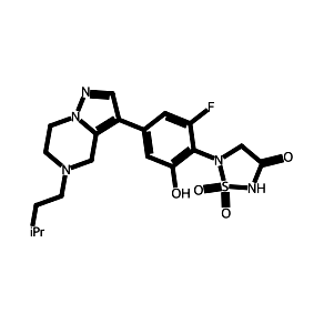 CC(C)CCN1CCn2ncc(-c3cc(O)c(N4CC(=O)NS4(=O)=O)c(F)c3)c2C1